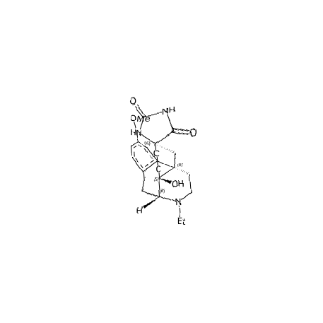 CCN1CC[C@]23C[C@]4(CC[C@@]2(O)[C@H]1Cc1ccc(OC)cc13)NC(=O)NC4=O